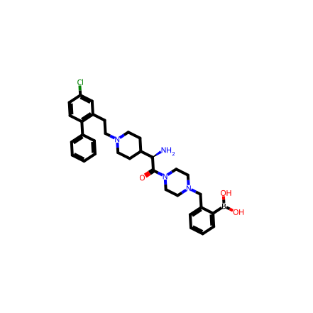 N[C@@H](C(=O)N1CCN(Cc2ccccc2B(O)O)CC1)C1CCN(CCc2cc(Cl)ccc2-c2ccccc2)CC1